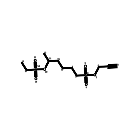 C#CCOS(=O)(=O)CCCCC(C)OS(=O)(=O)CC